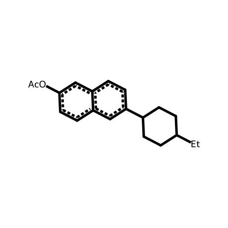 CCC1CCC(c2ccc3cc(OC(C)=O)ccc3c2)CC1